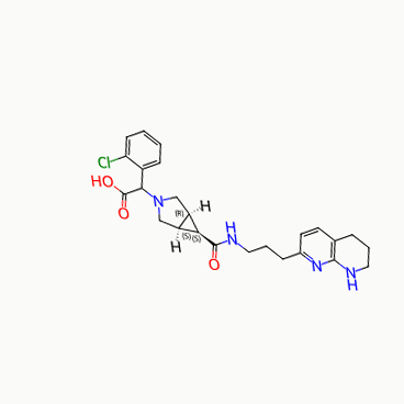 O=C(O)C(c1ccccc1Cl)N1C[C@@H]2[C@H](C1)[C@@H]2C(=O)NCCCc1ccc2c(n1)NCCC2